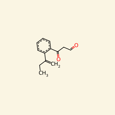 C=C(CC)c1ccccc1C(=O)CC=O